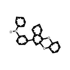 [O-][S+](c1ccccc1)c1cccc(-c2cc3c(c4ccccc24)Oc2ccccc2O3)c1